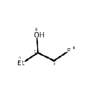 [CH2]CC(O)CF